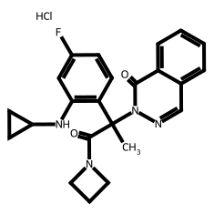 CC(C(=O)N1CCC1)(c1ccc(F)cc1NC1CC1)n1ncc2ccccc2c1=O.Cl